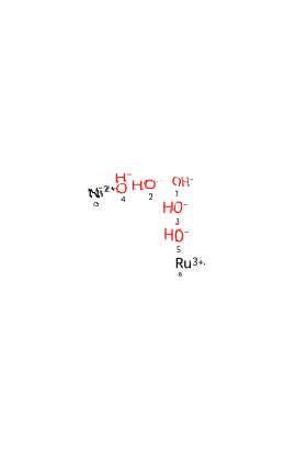 [Ni+2].[OH-].[OH-].[OH-].[OH-].[OH-].[Ru+3]